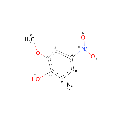 COc1cc([N+](=O)[O-])ccc1O.[Na]